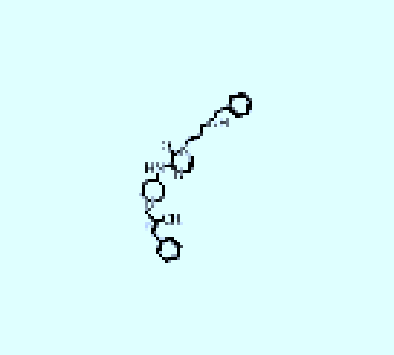 C/C(=C\c1ccccc1)CN1CCC(Nc2nccn(CCCNCc3ccccc3)c2=O)CC1